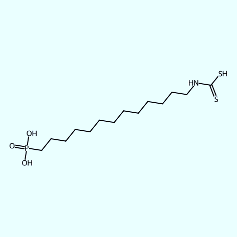 O=P(O)(O)CCCCCCCCCCCCCNC(=S)S